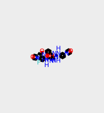 C=CC(=O)Nc1cccc(-c2nc(Nc3cccc(N4CCOCC4)c3)nc3[nH]nc(C(O)Nc4ccc(N5CCOCC5)c(F)c4)c23)c1